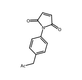 CC(=O)Cc1ccc(N2C(=O)C=CC2=O)cc1